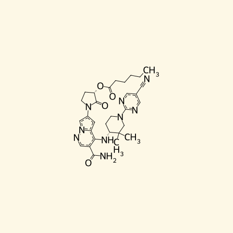 CCCCCC(=O)O[C@H]1CCN(c2cc3c(N[C@@H]4CCN(c5ncc(C#N)cn5)CC4(C)C)c(C(N)=O)cnn3c2)C1=O